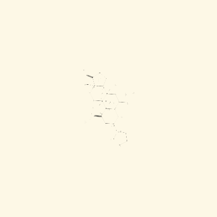 CC1C[C@@H]2[C@@H](CC[C@]3(C)C(=O)CC[C@@H]23)[C@@]2(C)C(=NO)CC(N3CCCC3)CC12.Cl